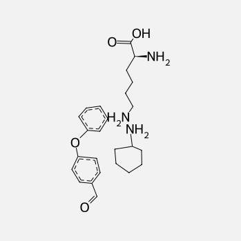 NC1CCCCC1.NCCCC[C@H](N)C(=O)O.O=Cc1ccc(Oc2ccccc2)cc1